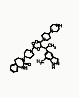 Cc1cc(C(C)C(OC(=O)N2CCC(N3CCc4ccccc4NC3=O)CC2)C(=O)N2CCC(N3CCNCC3)CC2)cc2cn[nH]c12